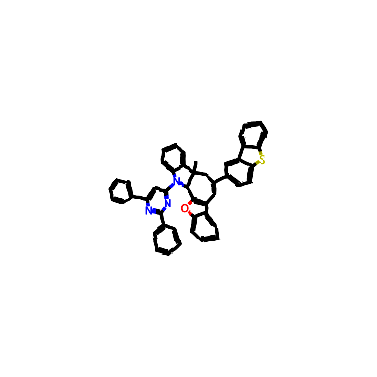 CC12CC(c3ccc4sc5ccccc5c4c3)=Cc3c(oc4ccccc34)C1N(c1cc(-c3ccccc3)nc(-c3ccccc3)n1)c1ccccc12